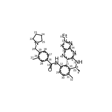 CCn1cc2ncc(N[C@@H](C)c3cc(NC(=O)c4ccc(CN5CCCC5)c(C)c4)ccc3C)nc2n1